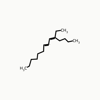 CCCCCC/C=[C]/C=C(CC)CCCC